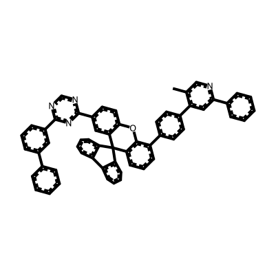 Cc1cnc(-c2ccccc2)cc1-c1ccc(-c2cccc3c2Oc2ccc(-c4ncnc(-c5cccc(-c6ccccc6)c5)n4)cc2C32c3ccccc3-c3ccccc32)cc1